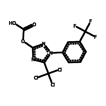 O=C(O)Oc1nc(C(Cl)(Cl)Cl)n(-c2cccc(C(F)(F)F)c2)n1